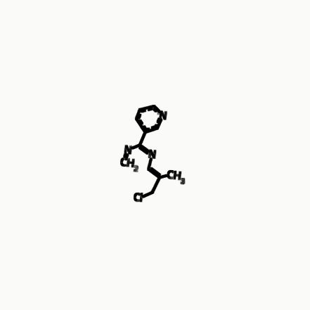 C=N/C(=N\C=C(/C)CCl)c1cccnc1